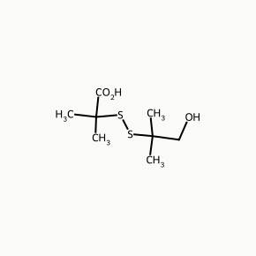 CC(C)(CO)SSC(C)(C)C(=O)O